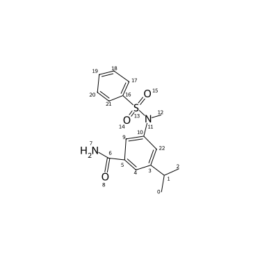 CC(C)c1cc(C(N)=O)cc(N(C)S(=O)(=O)c2ccccc2)c1